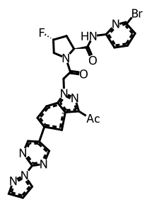 CC(=O)c1nn(CC(=O)N2C[C@H](F)C[C@H]2C(=O)Nc2cccc(Br)n2)c2ccc(-c3cnc(-n4cccn4)nc3)cc12